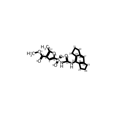 COC(=O)c1cc(S(=O)(=O)NC(=O)Nc2c3c(cc4c2CCC4)CCC3)oc1C